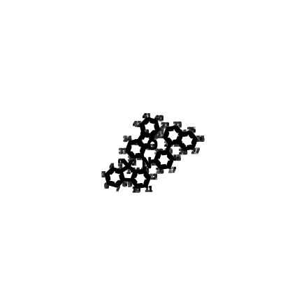 CC1(C)c2ccccc2-c2cccc(N(c3cccc(-c4cccc5ccccc45)c3)c3cccc4c3oc3ccccc34)c21